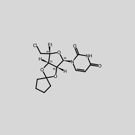 CC[C@@]1(CCl)O[C@@H](n2ccc(=O)[nH]c2=O)[C@@H]2OC3(CCCC3)O[C@@H]21